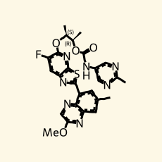 COc1cnc2c(-c3nc4cc(F)c(O[C@@H](C)[C@@H](C)OC(=O)Nc5cnc(C)nc5)nc4s3)cc(C)cc2n1